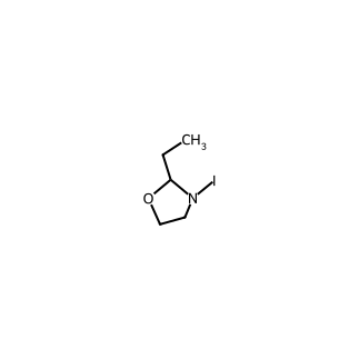 CCC1OCCN1I